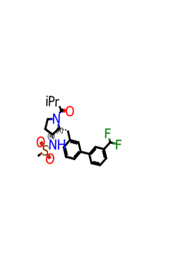 CC(C)C(=O)N1CC[C@@H](NS(C)(=O)=O)[C@H]1Cc1cccc(-c2cccc(C(F)F)c2)c1